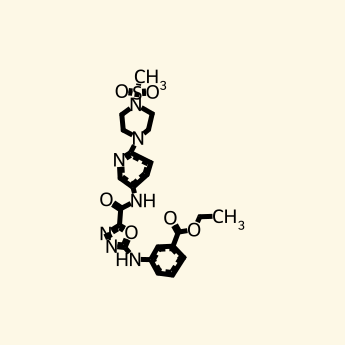 CCOC(=O)c1cccc(Nc2nnc(C(=O)Nc3ccc(N4CCN(S(C)(=O)=O)CC4)nc3)o2)c1